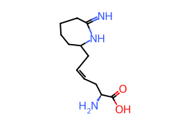 N=C1CCCCC(C/C=C\C[C@H](N)C(=O)O)N1